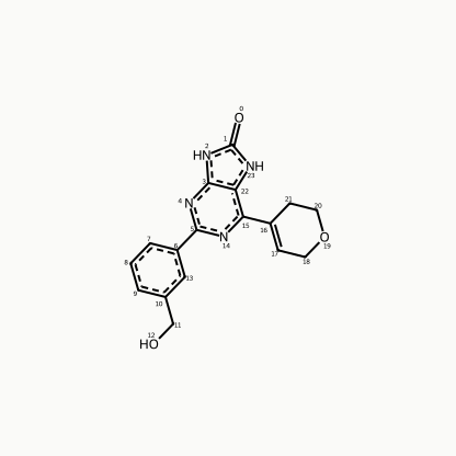 O=c1[nH]c2nc(-c3cccc(CO)c3)nc(C3=CCOCC3)c2[nH]1